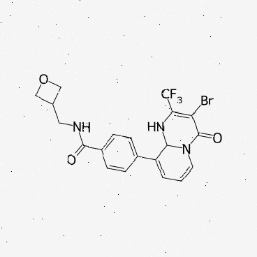 O=C(NCC1COC1)c1ccc(C2=CC=CN3C(=O)C(Br)=C(C(F)(F)F)NC23)cc1